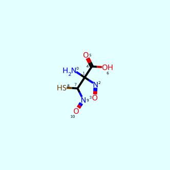 NC(N=O)(C(=O)O)C(S)N=O